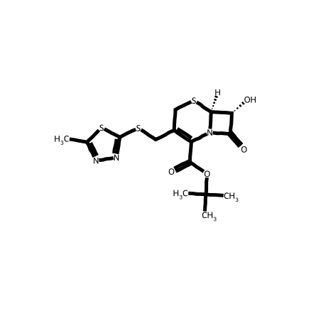 Cc1nnc(SCC2=C(C(=O)OC(C)(C)C)N3C(=O)[C@@H](O)[C@@H]3SC2)s1